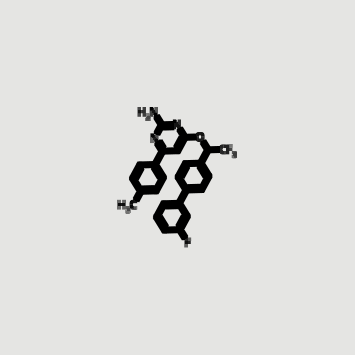 Cc1ccc(-c2cc(OC(c3ccc(-c4cccc(F)c4)cc3)C(F)(F)F)nc(N)n2)cc1